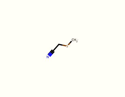 [CH2]SCC#N